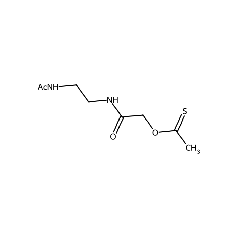 CC(=O)NCCNC(=O)COC(C)=S